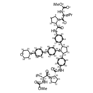 COC(=O)N[C@H](C(=O)N1CCCC1C(=O)Nc1ccc(C2CCC(c3ccc(NC(=O)[C@@H]4CCCN4C(=O)[C@@H](NC(=O)OC)C(C)C)cc3)N2c2ccc(-c3ccc(N4CCOCC4)nc3)cc2)cc1)C(C)C